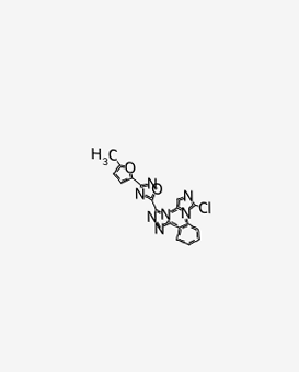 Cc1ccc(-c2noc(-c3nnc4c5ccccc5n5c(Cl)ncc5n34)n2)o1